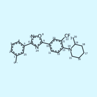 [CH2]c1cccc(-c2noc(-c3ccc(N4CCCCC4C)c(C(F)(F)F)c3)n2)c1